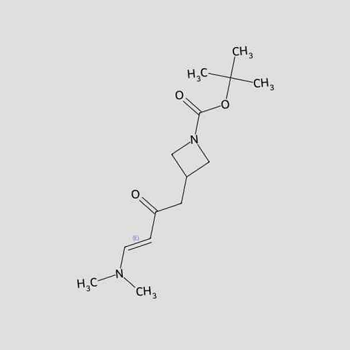 CN(C)/C=C/C(=O)CC1CN(C(=O)OC(C)(C)C)C1